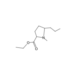 CCCC1CCC(C(=O)OCC)N1C